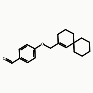 O=Cc1ccc(OCC2=CC3(CCCCC3)CCC2)cc1